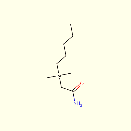 CCCCC[Si](C)(C)CC(N)=O